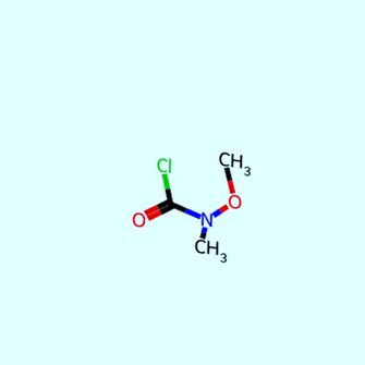 CON(C)C(=O)Cl